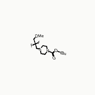 COCC(F)(F)CN1CCN(C(=O)OC(C)(C)C)CC1